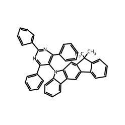 CC1(C)c2ccccc2-c2cc3c4ccccc4n(-c4c(-c5ccccc5)nc(-c5ccccc5)nc4-c4ccccc4)c3cc21